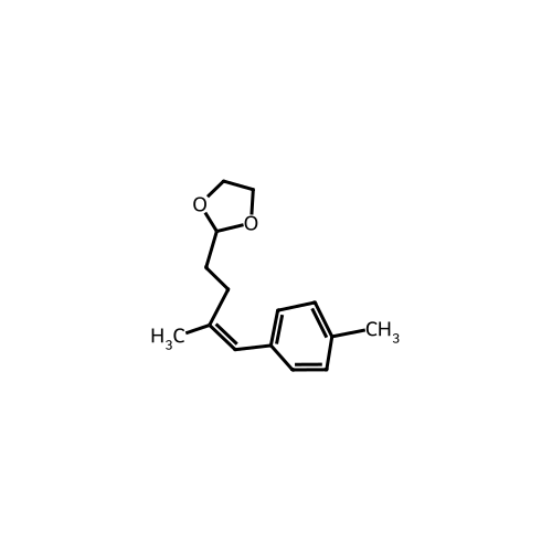 CC(=Cc1ccc(C)cc1)CCC1OCCO1